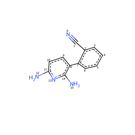 N#Cc1ccccc1-c1ccc(N)nc1N